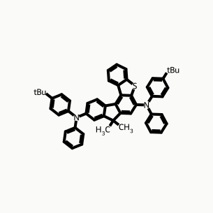 CC(C)(C)c1ccc(N(c2ccccc2)c2ccc3c(c2)C(C)(C)c2cc(N(c4ccccc4)c4ccc(C(C)(C)C)cc4)c4sc5ccccc5c4c2-3)cc1